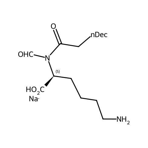 CCCCCCCCCCCC(=O)N(C=O)[C@@H](CCCCN)C(=O)O.[Na]